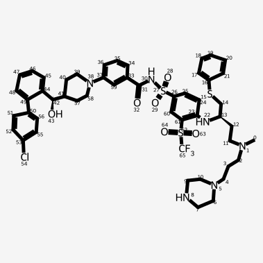 CN(CCCN1CCNCC1)CC[C@H](CSc1ccccc1)Nc1ccc(S(=O)(=O)NC(=O)c2cccc(N3CCC([C@@H](O)c4ccccc4-c4ccc(Cl)cc4)CC3)c2)cc1S(=O)(=O)C(F)(F)F